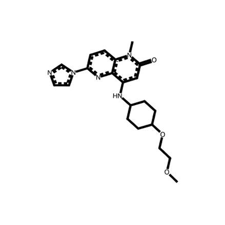 COCCOC1CCC(Nc2cc(=O)n(C)c3ccc(-n4ccnc4)nc23)CC1